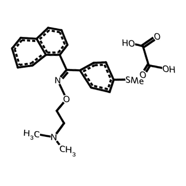 CSc1ccc(C(=NOCCN(C)C)c2cccc3ccccc23)cc1.O=C(O)C(=O)O